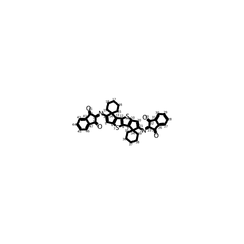 O=c1c(=NC2=Cc3sc4c5c(sc4c3C23CCCCC3)C=C(N=c2c(=O)c3ccccc3c2=O)C52CCCCC2)c(=O)c2ccccc12